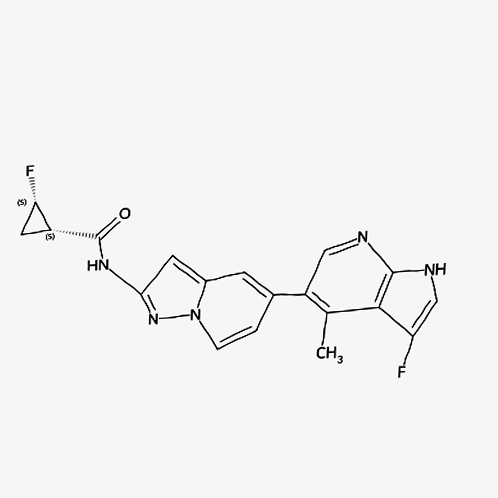 Cc1c(-c2ccn3nc(NC(=O)[C@@H]4C[C@@H]4F)cc3c2)cnc2[nH]cc(F)c12